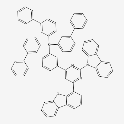 c1ccc(-c2cccc([Si](c3cccc(-c4ccccc4)c3)(c3cccc(-c4ccccc4)c3)c3cccc(-c4cc(-c5cccc6c5oc5ccccc56)nc(-n5c6ccccc6c6ccccc65)n4)c3)c2)cc1